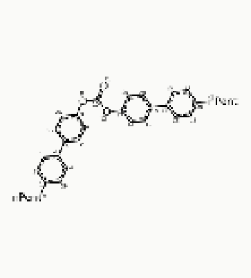 CCCCCc1ccc(-c2ccc(OC(=O)Oc3ccc(-c4ccc(CCCCC)cc4)cc3)cc2)cc1